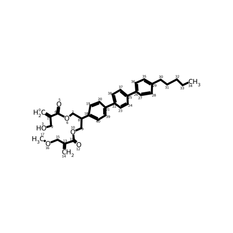 C=C(CO)C(=O)OCC(COC(=O)C(=C)COC)c1ccc(-c2ccc(-c3ccc(CCCCC)cc3)cc2)cc1